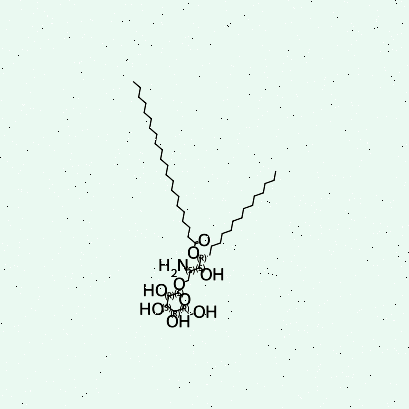 CCCCCCCCCCCCCCCCCCCCCC(=O)O[C@H](CCCCCCCCCCCCCC)[C@@H](O)[C@@H](N)CO[C@H]1O[C@H](CO)[C@H](O)[C@H](O)[C@H]1O